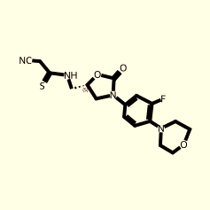 N#CCC(=S)NC[C@H]1CN(c2ccc(N3CCOCC3)c(F)c2)C(=O)O1